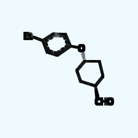 CCc1ccc(O[C@H]2CC[C@H](C=O)CC2)cc1